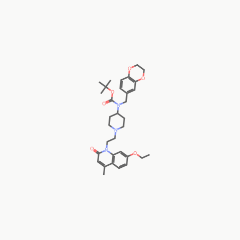 CCOc1ccc2c(C)cc(=O)n(CCN3CCC(N(Cc4ccc5c(c4)OCCO5)C(=O)OC(C)(C)C)CC3)c2c1